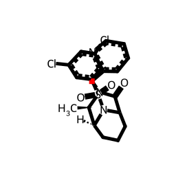 C[C@@H]1[C@@H]2CCCC(C(=O)N1Cc1ccccn1)N2S(=O)(=O)c1cc(Cl)cc(Cl)c1